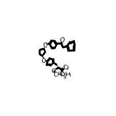 CO[C@@H](Cc1ccc(O[C@H]2CC[C@H](Oc3ccc(C(=O)Cc4ccccc4)cc3)C2)cc1)C(=O)O